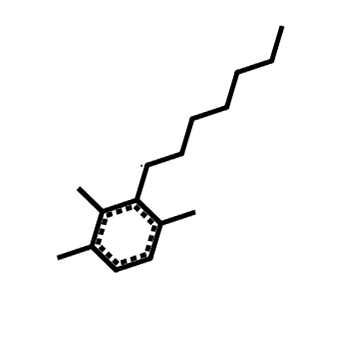 CCCCCC[CH]c1c(C)ccc(C)c1C